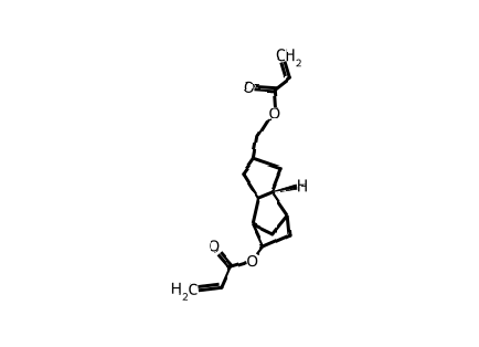 C=CC(=O)OCC1CC2C3CC(CC3OC(=O)C=C)[C@H]2C1